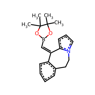 CC1(C)OB(C=C2c3ccccc3CCn3cccc32)OC1(C)C